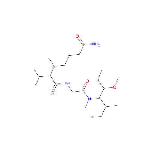 CCC(C)C(C(CC)OC)N(C)C(=O)CNC(=O)C(C(C)C)N(C)CCCC(N)=O